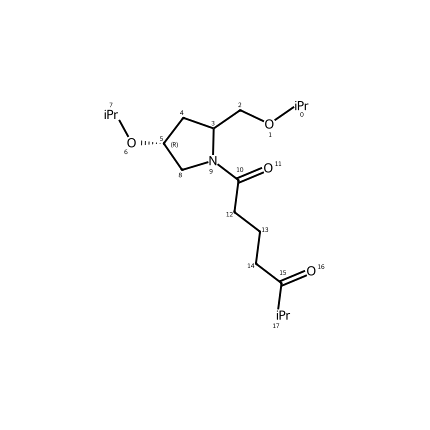 CC(C)OCC1C[C@@H](OC(C)C)CN1C(=O)CCCC(=O)C(C)C